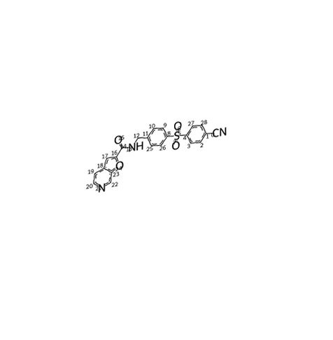 N#Cc1ccc(S(=O)(=O)c2ccc(CNC(=O)c3cc4ccncc4o3)cc2)cc1